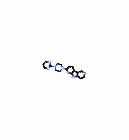 c1cnc(N2CCN(c3ccc4c(n3)[nH]c3ccncc34)CC2)nc1